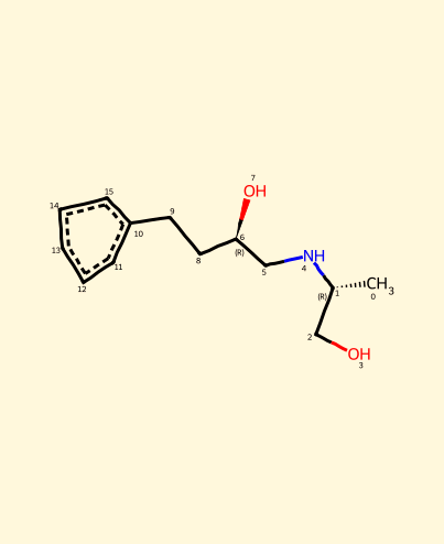 C[C@H](CO)NC[C@H](O)CCc1ccccc1